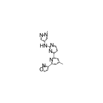 Cc1cc(-c2ccon2)nc(-c2ccnc(Nc3cnn(C)c3)n2)c1